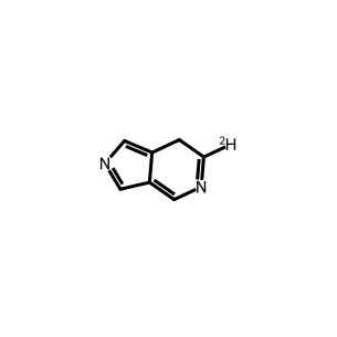 [2H]C1=NC=C2C=NC=C2C1